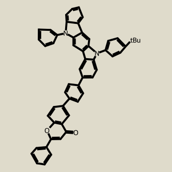 CC(C)(C)c1ccc(-n2c3ccc(-c4ccc(-c5ccc6oc(-c7ccccc7)cc(=O)c6c5)cc4)cc3c3cc4c(cc32)c2ccccc2n4-c2ccccc2)cc1